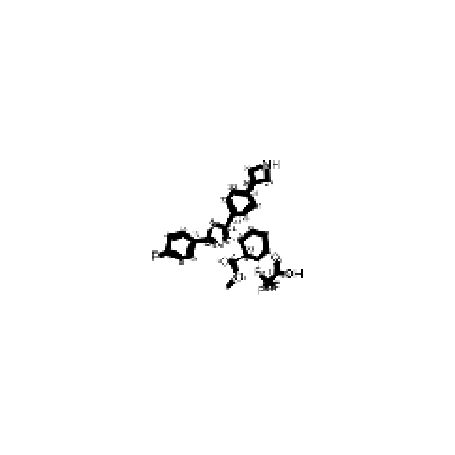 COC(=O)[C@@H]1CCCC[C@H]1c1nc(-c2ccc(F)cc2)sc1-c1ccc(C2CNC2)cc1.O=C(O)C(F)(F)F